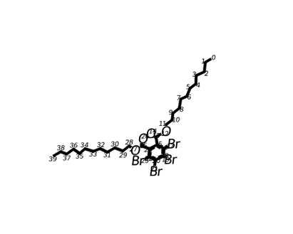 CCCCCCCCCCCCOC(=O)c1c(Br)c(Br)c(Br)c(Br)c1C(=O)OCCCCCCCCCCCC